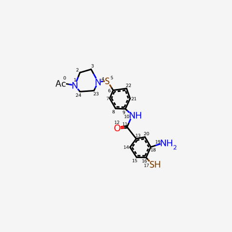 CC(=O)N1CCN(Sc2ccc(NC(=O)c3ccc(S)c(N)c3)cc2)CC1